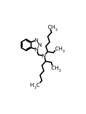 CCCCCC(CC)N(Cn1nnc2ccccc21)C(CC)CCCCC